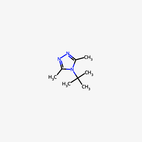 Cc1nnc(C)n1C(C)(C)C